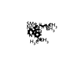 CSC1=C(C#N)C(c2ccc(N(C)C)cc2)(c2cccnc2)C(=O)N1CCCN(C)C